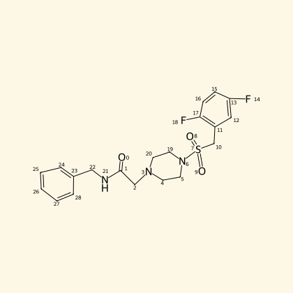 O=C(CN1CCN(S(=O)(=O)Cc2cc(F)ccc2F)CC1)NCc1ccccc1